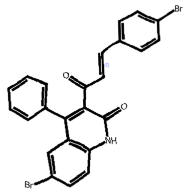 O=C(/C=C/c1ccc(Br)cc1)c1c(-c2ccccc2)c2cc(Br)ccc2[nH]c1=O